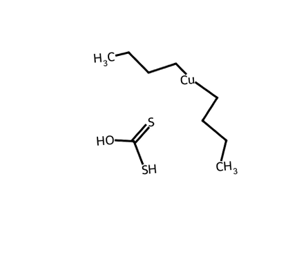 CCC[CH2][Cu][CH2]CCC.OC(=S)S